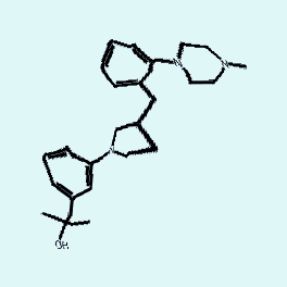 CN1CCN(c2ccccc2CC2CCN(c3cccc(C(C)(C)O)c3)C2)CC1